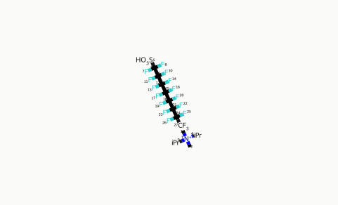 CC(C)[N+](C)(C)C(C)C.O=S(=O)(O)C(F)(F)C(F)(F)C(F)(F)C(F)(F)C(F)(F)C(F)(F)C(F)(F)C(F)(F)F